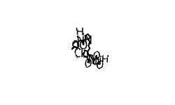 Cc1ccc(NC(=O)C2CCCN2CCCc2cccc3c2CN(C2CCC(=O)NC2=O)C3=O)cc1Cl